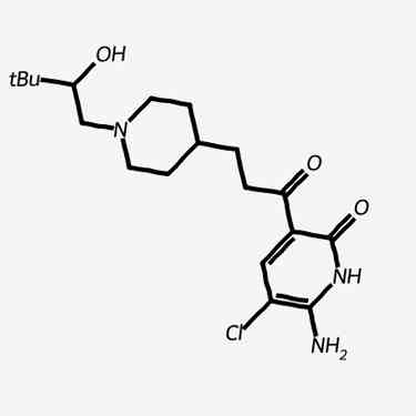 CC(C)(C)C(O)CN1CCC(CCC(=O)c2cc(Cl)c(N)[nH]c2=O)CC1